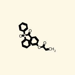 C=CC(=O)Oc1ccc(C(=O)P(=O)(c2ccccc2)c2ccccc2)cc1